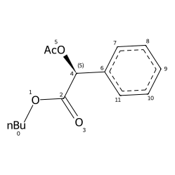 CCCCOC(=O)[C@@H](OC(C)=O)c1ccccc1